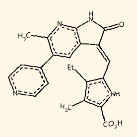 CCc1c(C=C2C(=O)Nc3nc(C)c(-c4ccncc4)cc32)[nH]c(C(=O)O)c1C